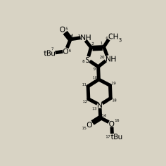 CC1=C(NC(=O)OC(C)(C)C)SC(C2CCN(C(=O)OC(C)(C)C)CC2)N1